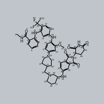 CNC(=O)c1ccccc1Nc1cc(Nc2ccc(N3CCC(CN4CCC[C@H](Nc5ccc6c(c5)C(=O)N(C5CCC(=O)NC5=O)C6=O)C4)CC3)cc2OC)ncc1C(F)(F)F